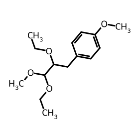 CCOC(Cc1ccc(OC)cc1)C(OC)OCC